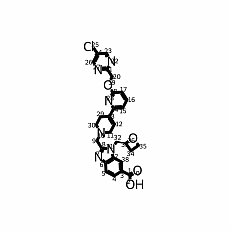 O=C(O)c1ccc2nc(CN3CC=C(c4cccc(OCc5ncc(Cl)cn5)n4)CC3)n(C[C@@H]3CCO3)c2c1